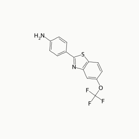 Nc1ccc(-c2nc3cc(OC(F)(F)F)ccc3s2)cc1